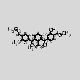 COCc1ccc(C(Cl)c2cccc(C(Cl)c3ccc(COC)c(C)c3)c2C(N)=O)cc1C